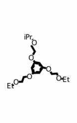 CCOCCOc1cc(OCCOCC)cc(OCCOC(C)C)c1